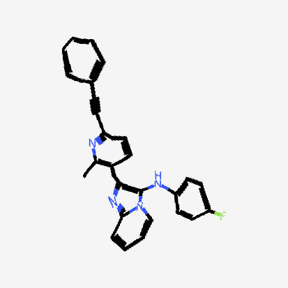 Cc1nc(C#Cc2ccccc2)ccc1-c1nc2ccccn2c1Nc1ccc(F)cc1